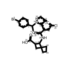 CC(c1ccc(Br)cc1)n1ncc2cc(Cl)cc(C(=O)NC3C(C(=O)O)CC34CCC4)c21